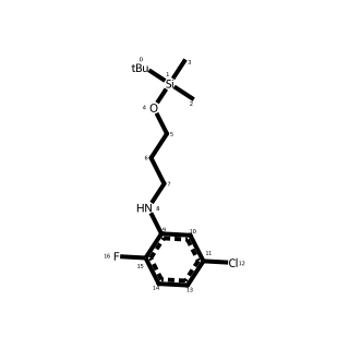 CC(C)(C)[Si](C)(C)OCCCNc1cc(Cl)ccc1F